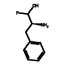 N[C@@H](Cc1ccccc1)C(O)F